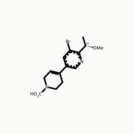 CO[C@@H](C)c1ncc(C2=CCN(C(=O)O)CC2)cc1Br